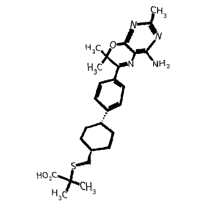 Cc1nc(N)c2c(n1)OC(C)(C)C(c1ccc([C@H]3CC[C@H](CSC(C)(C)C(=O)O)CC3)cc1)=N2